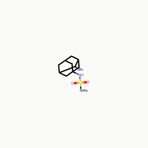 CNS(=O)(=O)NC12CC3CC(C1)C(C(C)(C)C)C(C3)C2